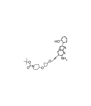 CC(C)(C)OC(=O)N1CCC(O[C@H]2C[C@H](OCC#Cc3cn4cc(-c5ccccc5O)nc4nc3N)C2)CC1